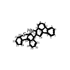 c1ccc2c(c1)-c1cccc3c1c-2cc1c3[nH]c2c3sc4ccccc4c3c3ccccc3c12